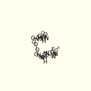 CN[C@@H](C)C(=O)N[C@H](C(=O)N1CCC[C@H]1c1nc(C(=O)c2cccc(OCCCOCCC(=O)N3CCn4nc(Nc5cc(-c6ccnc(-n7ncc8cc(C(C)(C)C)cc(F)c8c7=O)c6CO)cn(C)c5=O)cc4C3)c2)cs1)C1CCCCC1